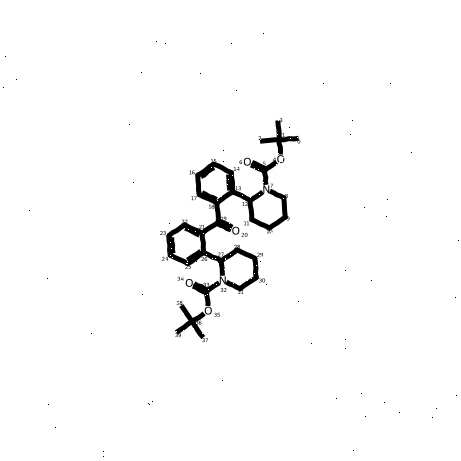 CC(C)(C)OC(=O)N1CCCCC1c1ccccc1C(=O)c1ccccc1C1CCCCN1C(=O)OC(C)(C)C